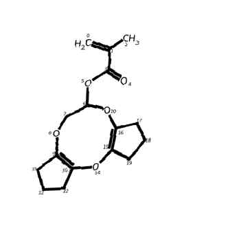 C=C(C)C(=O)OC1COC2=C(CCC2)OC2=C(CCC2)O1